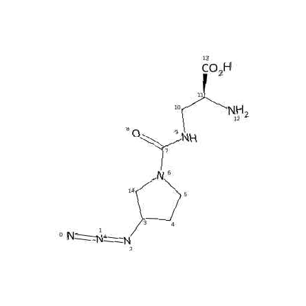 [N-]=[N+]=NC1CCN(C(=O)NC[C@H](N)C(=O)O)C1